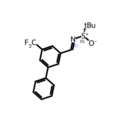 CC(C)(C)[S@@+]([O-])/N=C/c1cc(-c2ccccc2)cc(C(F)(F)F)c1